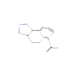 C=C(C)c1cccc2c1CC[C@@]1(C)CNC[C@@H]21